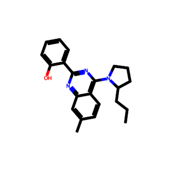 CCCC1CCCN1c1nc(-c2ccccc2O)nc2cc(C)ccc12